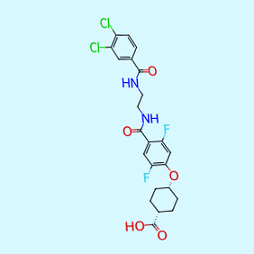 O=C(NCCNC(=O)c1cc(F)c(O[C@H]2CC[C@@H](C(=O)O)CC2)cc1F)c1ccc(Cl)c(Cl)c1